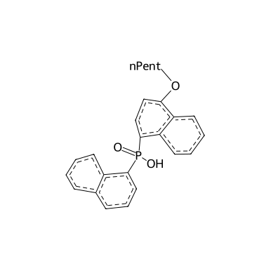 CCCCCOc1ccc(P(=O)(O)c2cccc3ccccc23)c2ccccc12